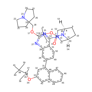 CC(C)(C)OC(=O)N1[C@@H]2CC[C@H]1CN(c1nc(OCC34CCCN3CCC4)nc3cc(-c4cc(O[Si](C)(C)C(C)(C)C)cc5ccccc45)ccc13)C2